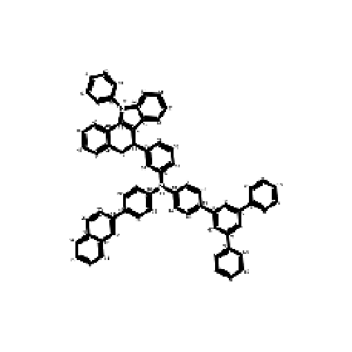 c1ccc(-c2cc(-c3ccccc3)cc(-c3ccc(N(c4ccc(-c5ccc6ccccc6c5)cc4)c4cccc(C5Cc6ccccc6-c6c5c5ccccc5n6-c5ccccc5)c4)cc3)c2)cc1